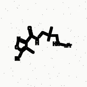 CCCNCC(C)(C)CNC(=O)c1noc(CC)c1C